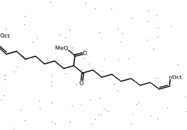 CCCCCCCC/C=C\CCCCCCCC(=O)C(CCCCCC/C=C\CCCCCCCC)C(=O)OC